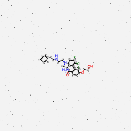 NC(=O)c1ccc(OCCO)c(F)c1-c1c(Cl)c(F)cc2c1CCN2CCNCCc1ccccc1